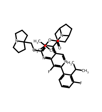 CC(C)c1c(F)cccc1-c1ncc2c(N3CC4CCC(C3)N4C(=O)OC(C)(C)C)nc(OCC34CCCN3CCC4)nc2c1F